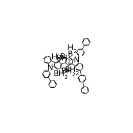 Bc1c(-c2c(B)c(B)c3c(c2B)c2cc(-c4ccc(-c5ccccc5)cc4)ccc2n3-c2ccc(-c3ccccc3)cc2)c(B)c2c3ccccc3n(-c3cccc(-c4ccccc4)c3)c2c1B